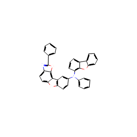 c1ccc(-c2nc3ccc4oc5ccc(N(c6ccccc6)c6cccc7c6oc6ccccc67)cc5c4c3o2)cc1